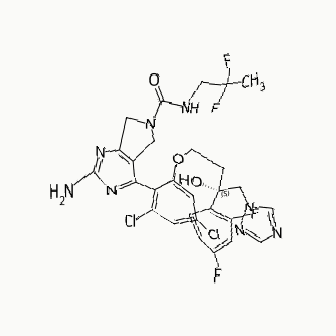 CC(F)(F)CNC(=O)N1Cc2nc(N)nc(-c3c(Cl)cc(Cl)cc3OCC[C@@](O)(Cn3cncn3)c3ccc(F)cc3F)c2C1